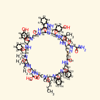 CCCCC[C@H]1C(=O)N(C)CC(=O)N[C@@H](CC(=O)O)C(=O)N[C@@H](C(C)C)C(=O)N(C)[C@@H](Cc2ccccc2)C(=O)N[C@@H](Cc2ccc(O)cc2)C(=O)N(C)CC(=O)N[C@@H](Cc2c[nH]c3ccccc23)C(=O)N[C@@H](Cc2ccc(O)cc2)C(=O)N[C@@H](CC(C)C)C(=O)N[C@H](C(=O)NCC(N)=O)CSCC(=O)N[C@@H](Cc2ccccc2)C(=O)N(C)[C@@H](Cc2ccccc2)C(=O)N1C